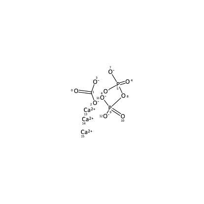 O=C([O-])[O-].O=P([O-])([O-])OP(=O)([O-])[O-].[Ca+2].[Ca+2].[Ca+2]